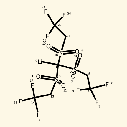 [Li][C](S(=O)(=O)CC(F)(F)F)(S(=O)(=O)CC(F)(F)F)S(=O)(=O)CC(F)(F)F